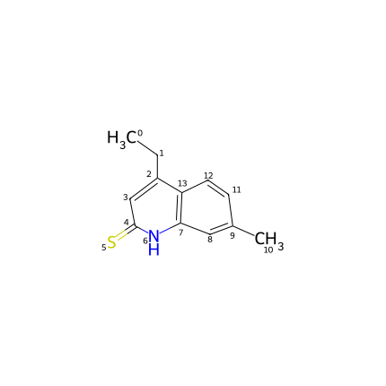 CCc1cc(=S)[nH]c2cc(C)ccc12